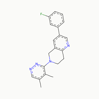 Cc1cnnc(N2CCc3ncc(-c4cccc(F)c4)cc3C2)c1C